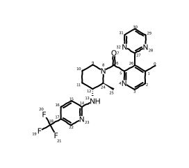 Cc1ccnc(C(=O)N2CCC[C@@H](Nc3ccc(C(F)(F)F)cn3)[C@@H]2C)c1-c1ncccn1